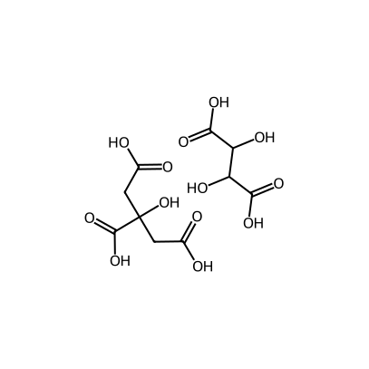 O=C(O)C(O)C(O)C(=O)O.O=C(O)CC(O)(CC(=O)O)C(=O)O